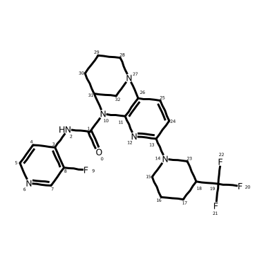 O=C(Nc1ccncc1F)N1c2nc(N3CCCC(C(F)(F)F)C3)ccc2N2CCCC1C2